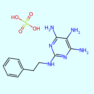 Nc1nc(NCCc2ccccc2)nc(N)c1N.O=S(=O)(O)O